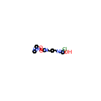 O=C(Nc1ccccc1-c1ccccc1)OC1CCN(CCc2ccc(CCNCc3ccc(O)c(Cl)c3)cc2)CC1